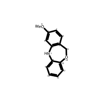 COc1ccc2c(c1)Nc1ccccc1OC2